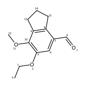 CCOc1cc(C=O)c2c(c1OC)CCC2